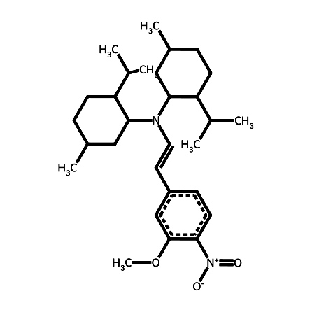 COc1cc(/C=C/N(C2CC(C)CCC2C(C)C)C2CC(C)CCC2C(C)C)ccc1[N+](=O)[O-]